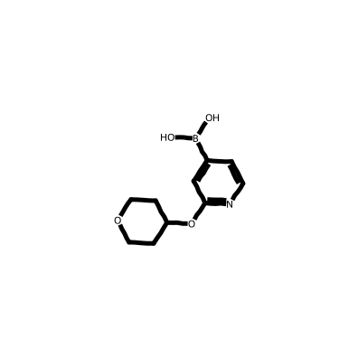 OB(O)c1ccnc(OC2CCOCC2)c1